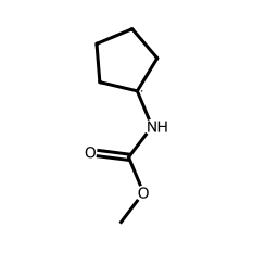 COC(=O)N[C]1CCCC1